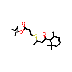 CC(CC(=O)C1C(C)C=CCC1(C)C)SCCC(=O)O[Si](C)(C)C